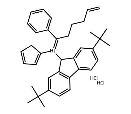 C=CCCC/[C](c1ccccc1)=[Hf](/[C]1=CC=CC1)[CH]1c2cc(C(C)(C)C)ccc2-c2ccc(C(C)(C)C)cc21.Cl.Cl